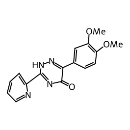 COc1ccc(-c2n[nH]c(-c3ccccn3)nc2=O)cc1OC